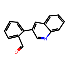 O=Cc1ccccc1-c1cnc2ccccc2c1